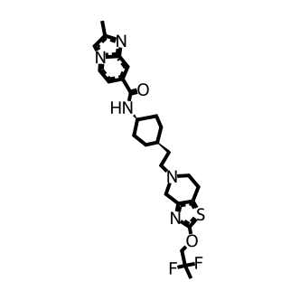 Cc1cn2ccc(C(=O)N[C@H]3CC[C@H](CCN4CCc5sc(OCC(C)(F)F)nc5C4)CC3)cc2n1